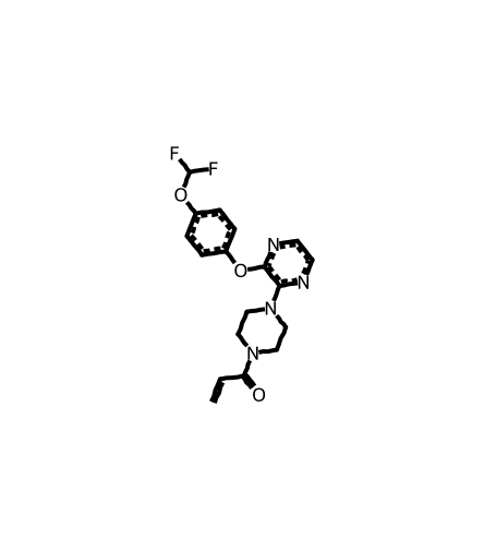 C=CC(=O)N1CCN(c2nccnc2Oc2ccc(OC(F)F)cc2)CC1